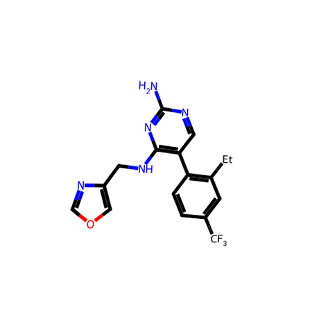 CCc1cc(C(F)(F)F)ccc1-c1cnc(N)nc1NCc1cocn1